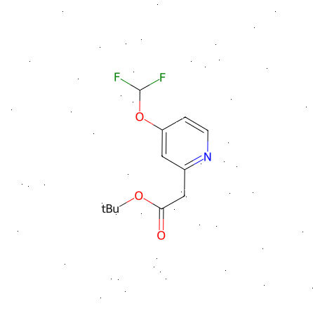 CC(C)(C)OC(=O)Cc1cc(OC(F)F)ccn1